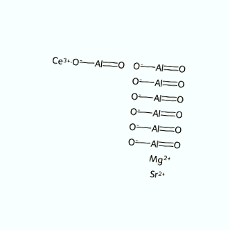 [Ce+3].[Mg+2].[O]=[Al][O-].[O]=[Al][O-].[O]=[Al][O-].[O]=[Al][O-].[O]=[Al][O-].[O]=[Al][O-].[O]=[Al][O-].[Sr+2]